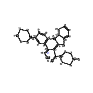 CN1CCN(C(=O)C2=C3Sc4ccccc4N3c3nnc(N4CCOCC4)cc3/C2=C/O)CC1